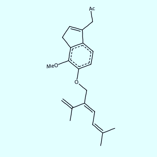 C=C(C)/C(=C\C=C(C)C)COc1ccc2c(c1OC)CC=C2CC(C)=O